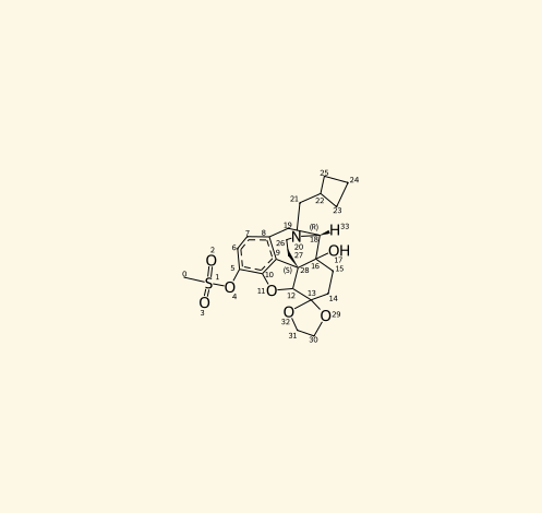 CS(=O)(=O)Oc1ccc2c3c1OC1C4(CCC5(O)[C@@H](C2)N(CC2CCC2)CC[C@]315)OCCO4